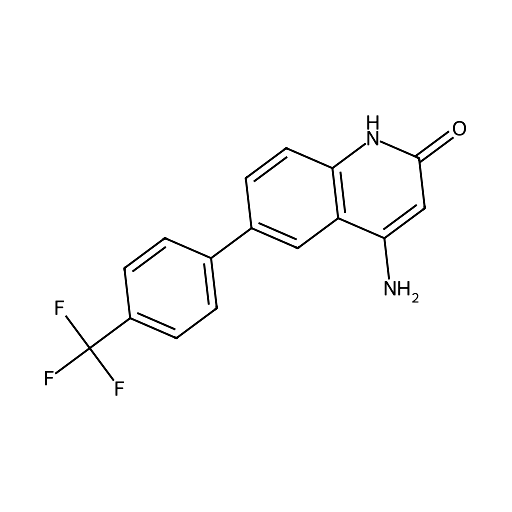 Nc1cc(=O)[nH]c2ccc(-c3ccc(C(F)(F)F)cc3)cc12